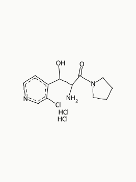 Cl.Cl.NC(C(=O)N1CCCC1)C(O)c1ccncc1Cl